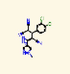 Cn1cc(/C(N)=C(\C#N)C(c2ccc(Cl)c(Cl)c2)C(C#N)C#N)cn1